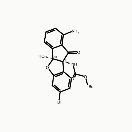 CC(C)(C)OC(=O)N[C@@]12C(=O)c3c(N)cccc3[C@]1(O)Oc1cc(Br)ccc12